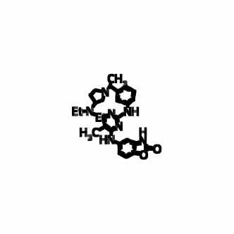 CCN(CC)C1CCN(C(C)c2cccc(Nc3ncc(C)c(Nc4ccc5oc(=O)[nH]c5c4)n3)c2)C1